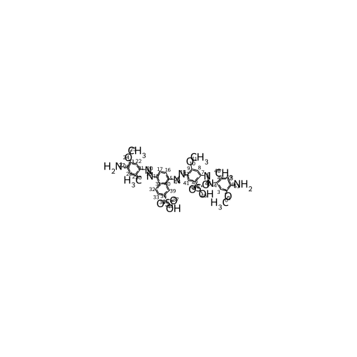 COc1cc(N=Nc2cc(OC)c(N=Nc3ccc(N=Nc4cc(OC)c(N)cc4C)c4ccc(S(=O)(=O)O)cc34)cc2S(=O)(=O)O)c(C)cc1N